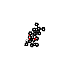 c1ccc(-c2cc(-c3ccccc3)cc([Si](c3ccccc3)(c3ccccc3)c3cc(-c4ccccc4)c(-n4c5ccccc5c5cc(-n6c7ccccc7c7cccc(-c8cccc9oc%10ccccc%10c89)c76)ccc54)c(-c4ccccc4)c3)c2)cc1